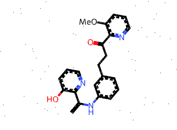 C=C(Nc1cccc(CCC(=O)c2ncccc2OC)c1)c1ncccc1O